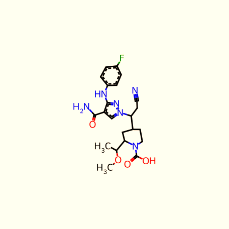 COC(C)C1CC(C(CC#N)n2cc(C(N)=O)c(Nc3ccc(F)cc3)n2)CCN1C(=O)O